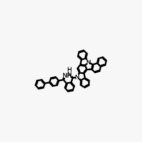 N=C(c1ccc(-c2ccccc2)cc1)c1ccccc1C(=N)n1c2ccccc2c2c3c4ccc5ccccc5c4n4c5ccccc5c(cc21)c34